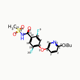 CC(C)COc1ccc(Oc2cc(F)c(C(=O)NS(C)(=O)=O)cc2F)cn1